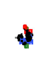 C[C@@H]1C[C@H](C)CN(c2ncc(Cl)c(Nc3ccc4c(c3)cc(OCP(C)(C)=O)c(=O)n4C)n2)C1